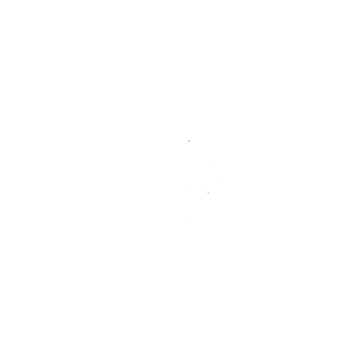 N#CCn1nnc([C@@H](N)C2CCCCC2)n1